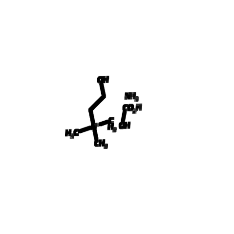 C[N+](C)(C)CCO.N.O=C(O)O